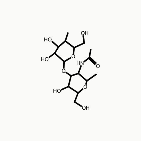 CC(=O)NC1C(C)OC(CO)C(O)C1OC1OC(CO)C(C)C(O)C1O